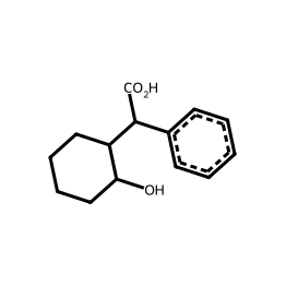 O=C(O)C(c1ccccc1)C1CCCCC1O